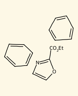 CCOC(=O)c1ncco1.c1ccccc1.c1ccccc1